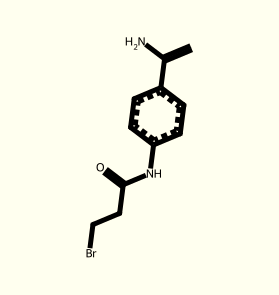 C=C(N)c1ccc(NC(=O)CCBr)cc1